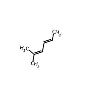 [CH2]C=CC=C(C)C